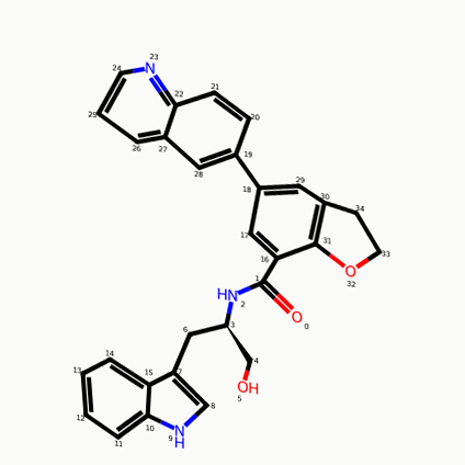 O=C(N[C@@H](CO)Cc1c[nH]c2ccccc12)c1cc(-c2ccc3ncccc3c2)cc2c1OCC2